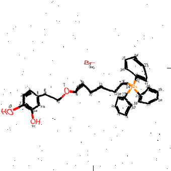 Oc1ccc(CCOCCCCCC[P+](c2ccccc2)(c2ccccc2)c2ccccc2)cc1O.[Br-]